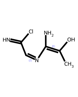 C/C(O)=C(N)\N=C/C(=N)Cl